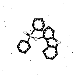 O=P(Oc1cccc2oc3ccccc3c12)(c1ccccc1)c1ccccc1